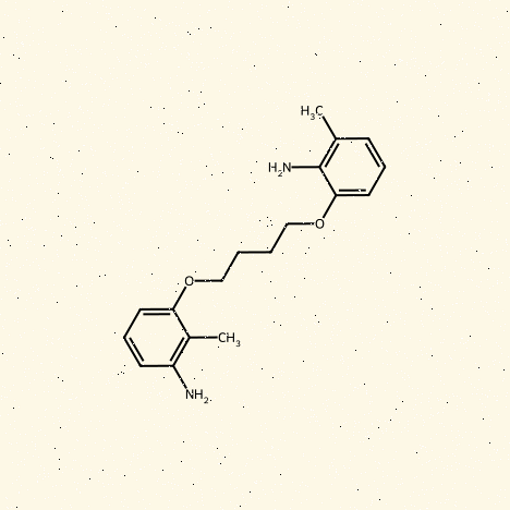 Cc1cccc(OCCCCOc2cccc(N)c2C)c1N